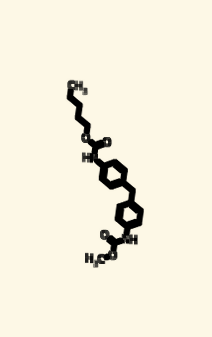 CCCCCOC(=O)Nc1ccc(Cc2ccc(NC(=O)OC)cc2)cc1